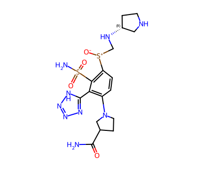 NC(=O)C1CCN(c2ccc([S+]([O-])CN[C@@H]3CCNC3)c(S(N)(=O)=O)c2-c2nnn[nH]2)C1